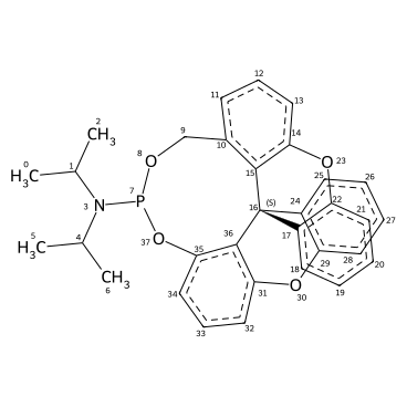 CC(C)N(C(C)C)P1OCc2cccc3c2[C@]2(c4ccccc4O3)c3ccccc3Oc3cccc(c32)O1